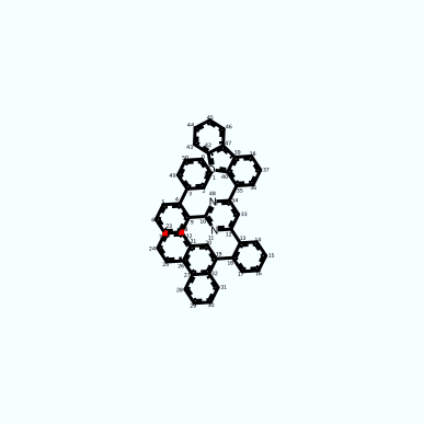 c1ccc(-c2ccccc2-c2nc(-c3ccccc3-c3cc4ccccc4c4ccccc34)cc(-c3cccc4c3oc3ccccc34)n2)cc1